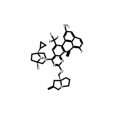 C#Cc1c(F)ccc2cc(N)cc(-c3c(C(F)(F)F)cc4c(N5C[C@@H]6CC[C@](C7CC7)(C5)N6)nc(OC[C@@]56CCCN5CC(=C)C6)nc4c3F)c12